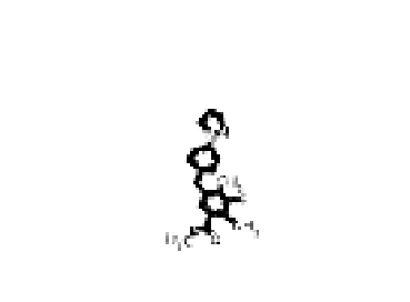 COC(=O)c1cc(Cc2ccc(-n3cccn3)cc2)c(C)c(F)c1N